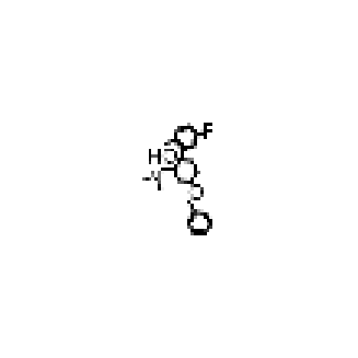 Cc1ccc(F)cc1C1(O)CCC(OCc2ccccc2)CC1CN(C)C